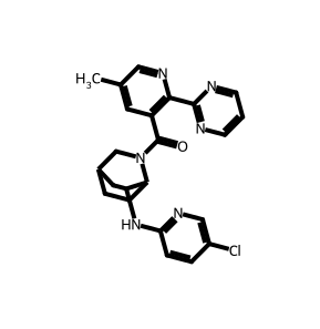 Cc1cnc(-c2ncccn2)c(C(=O)N2CC3CCC2C(Nc2ccc(Cl)cn2)C3)c1